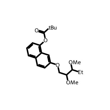 CCC(OC)C(COc1ccc2cccc(OC(=O)C(C)(C)C)c2c1)OC